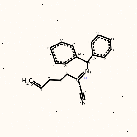 C=CCCC/C(C#N)=N\C(c1ccccc1)c1ccccc1